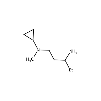 CCC(N)CCN(C)C1CC1